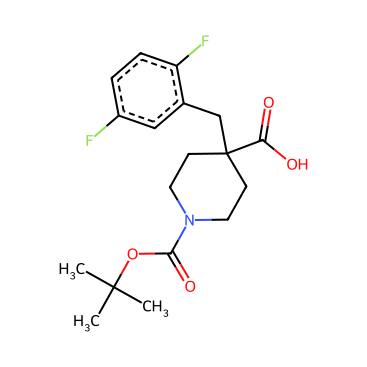 CC(C)(C)OC(=O)N1CCC(Cc2cc(F)ccc2F)(C(=O)O)CC1